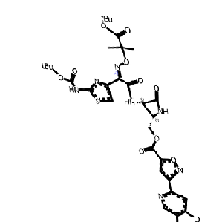 CCCCOc1cnc(-c2cc(C(=O)OC[C@H]3NC(=O)[C@H]3NC(=O)/C(=N\OC(C)(C)C(=O)OC(C)(C)C)c3csc(NC(=O)OC(C)(C)C)n3)on2)cc1OCCCC